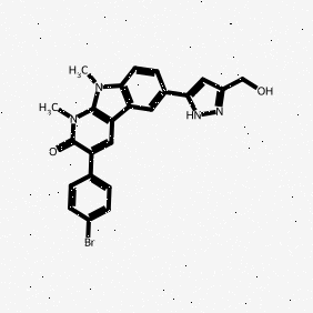 Cn1c(=O)c(-c2ccc(Br)cc2)cc2c3cc(-c4cc(CO)n[nH]4)ccc3n(C)c21